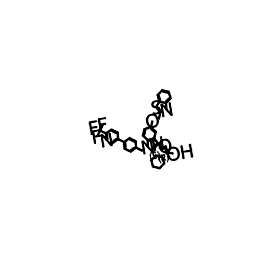 O=C(O)[C@@H]1CCCC[C@@H]1c1nc2cc(OCc3nc4ccccc4s3)ccc2n1Cc1ccc(-c2ccc(C(F)(F)F)nc2)cc1